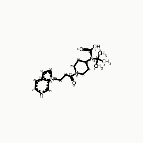 CC(C)(C)N(C(=O)O)C1CCN(C(=O)CCn2ccc3ccncc32)CC1